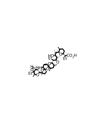 CCC(C(=O)[C@@H](C)[C@@H](O)[C@H](C)[C@@H]1O[C@@H](C(CC)C(=O)O)CC[C@@H]1C)[C@H]1O[C@]2(C=CC(NC(C)=O)[C@]3(CC[C@@](C)([C@H]4CC[C@](O)(CC)[C@H](C)O4)O3)O2)[C@H](C)C[C@@H]1C